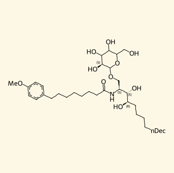 CCCCCCCCCCCCCC[C@@H](O)[C@@H](O)[C@H](COC1OC(CO)C(O)C(O)[C@@H]1O)NC(=O)CCCCCCCc1ccc(OC)cc1